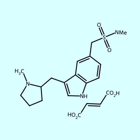 CNS(=O)(=O)Cc1ccc2[nH]cc(CC3CCCN3C)c2c1.O=C(O)C=CC(=O)O